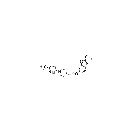 Cc1ccc(N2CCC(CCOc3ccc4nc(C)oc4c3)CC2)nn1